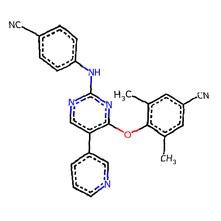 Cc1cc(C#N)cc(C)c1Oc1nc(Nc2ccc(C#N)cc2)ncc1-c1cccnc1